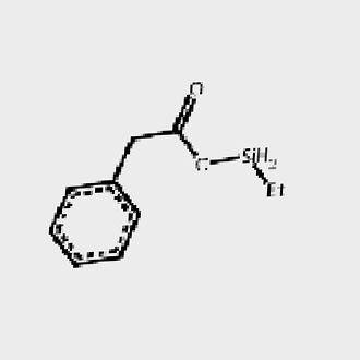 CC[SiH2]OC(=O)Cc1ccccc1